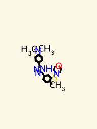 Cc1ccc(-c2nnc(-c3ccc(N(C)C)cc3)[nH]2)cc1SN1CCOCC1